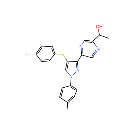 Cc1ccc(-n2cc(Sc3ccc(I)cc3)c(-c3cnc(C(C)O)cn3)n2)cc1